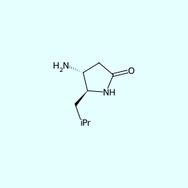 CC(C)C[C@@H]1NC(=O)C[C@H]1N